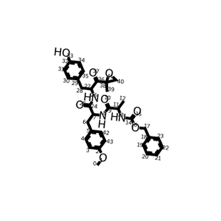 COc1ccc(CC(NC(=O)C(C)NC(=O)OCc2ccccc2)C(=O)NC(Cc2ccc(O)cc2)C(=O)C2(C)CO2)cc1